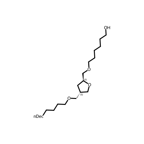 CCCCCCCCCCCCCCOC[C@H]1CO[C@H](COCCCCCCO)C1